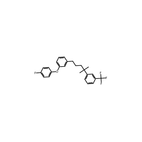 CC(C)(CCCc1cccc(Oc2ccc(F)cc2)c1)c1cccc(C(F)(F)F)c1